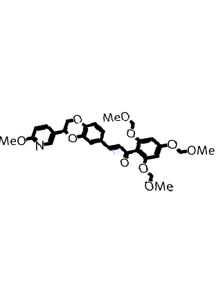 COCOc1cc(OCOC)c(C(=O)/C=C/c2ccc3c(c2)OC(c2ccc(OC)nc2)CO3)c(OCOC)c1